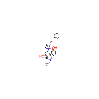 CC(C)CN(C(=O)CCCCCc1ccccc1)[C@H]1CC(O)[C@@H]2CN(CC3CC3)CC[C@@]2(c2cccc(O)c2)C1